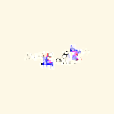 CCCN(Cc1ncc(-c2ccc3cc(-c4ccc(-c5cnc(CN(CC6(C)CC6)C(=O)[C@H](NC(=O)OC)c6ccccc6)[nH]5)cc4)ccc3c2)[nH]1)C(=O)CNC(=O)OC